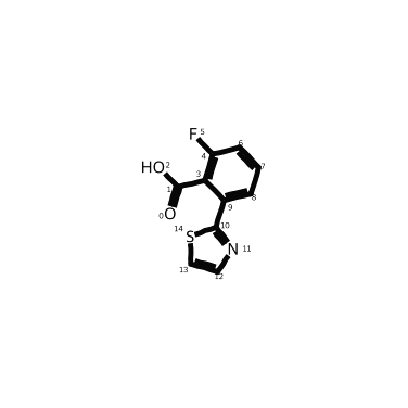 O=C(O)c1c(F)cccc1-c1nccs1